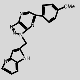 COc1ccc(-c2cnc3nnn(Cc4cc5ncccc5[nH]4)c3n2)cc1